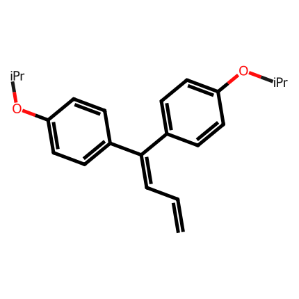 C=CC=C(c1ccc(OC(C)C)cc1)c1ccc(OC(C)C)cc1